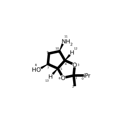 CC(C)C1(C)O[C@@H]2[C@H](O1)[C@@H](O)C[C@H]2N